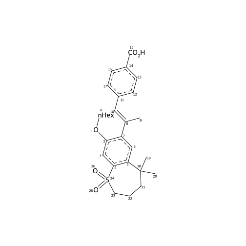 CCCCCCOc1cc2c(cc1C(C)=Cc1ccc(C(=O)O)cc1)C(C)(C)CCCS2(=O)=O